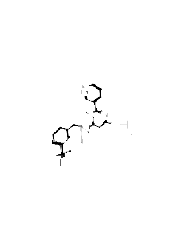 Cc1cc(NCc2cccc(C(F)(F)F)c2)nc(-c2cccnc2)n1